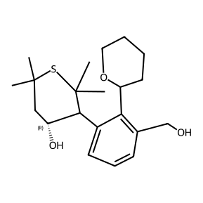 CC1(C)C[C@@H](O)C(c2cccc(CO)c2C2CCCCO2)C(C)(C)S1